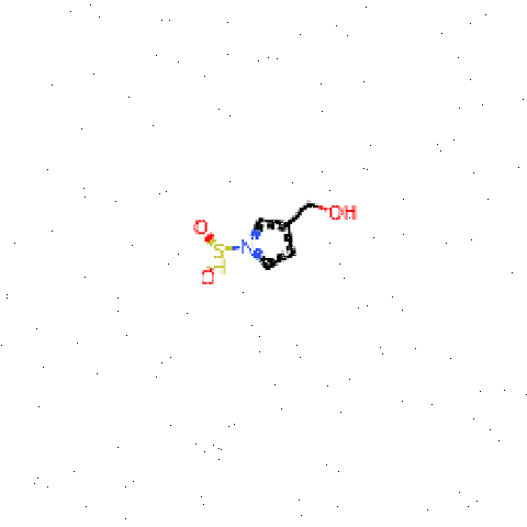 O=[SH](=O)n1ccc(CO)c1